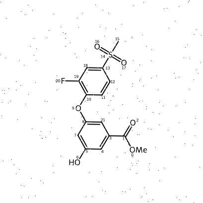 COC(=O)c1cc(O)cc(Oc2ccc(S(C)(=O)=O)cc2F)c1